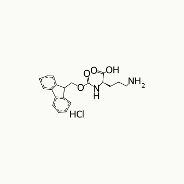 Cl.NCCC[C@@H](NC(=O)OCC1c2ccccc2-c2ccccc21)C(=O)O